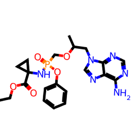 CCOC(=O)C1(NP(=O)(COC(C)Cn2cnc3c(N)ncnc32)Oc2ccccc2)CC1